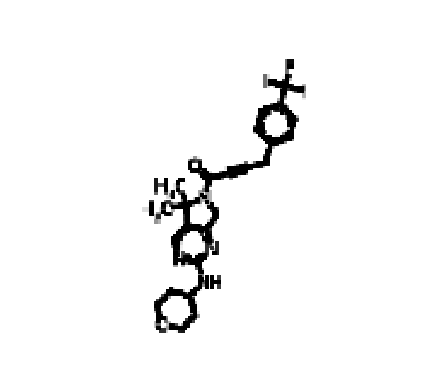 CC1(C)c2cnc(NC3CCOCC3)nc2CN1C(=O)C#CCc1ccc(C(F)(I)I)cc1